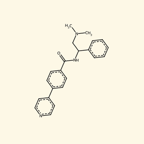 CN(C)CC(NC(=O)c1ccc(-c2ccncc2)cc1)c1ccccc1